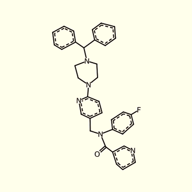 O=C(c1cccnc1)N(Cc1ccc(N2CCN(C(c3ccccc3)c3ccccc3)CC2)nc1)c1ccc(F)cc1